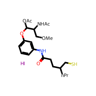 CCCC(CS)CCC(=O)Nc1cccc(OC(OC(C)=O)C(COC)NC(C)=O)c1.I